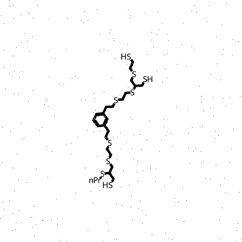 CCCSC(CS)CSCCSCCc1cccc(CCSCCSC(CS)CSCCS)c1